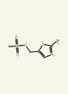 CS(=O)(=O)OCc1cnc(Br)s1